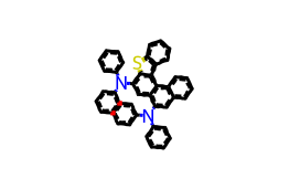 c1ccc(N(c2ccccc2)c2cc3ccccc3c3c2cc(N(c2ccccc2)c2ccccc2)c2sc4ccccc4c23)cc1